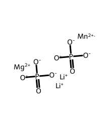 O=P([O-])([O-])[O-].O=P([O-])([O-])[O-].[Li+].[Li+].[Mg+2].[Mn+2]